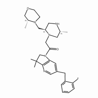 C[C@@H]1CN(CC(=O)N2CC(C)(C)c3ncc(Cc4ccccc4F)cc32)[C@@H](CN2CCOC[C@H]2C)CN1